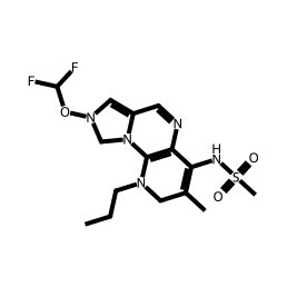 CCCN1CC(C)=C(NS(C)(=O)=O)C2=C1N1CN(OC(F)F)C=C1C=N2